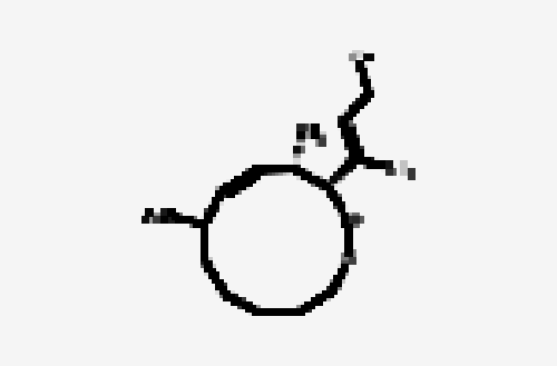 CC(=O)OC1C=C[C@H](C)[C@@H](C(C)=CCO)NOCCCCC1